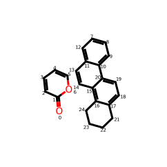 O=c1cccco1.c1ccc2c(c1)ccc1c3c(ccc12)CCCC3